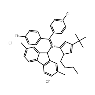 CCCCC1C=C(C(C)(C)C)C=[C]1[Zr+2](=[C](c1ccc(Cl)cc1)c1ccc(Cl)cc1)[CH]1c2cc(C)ccc2-c2ccc(C)cc21.[Cl-].[Cl-]